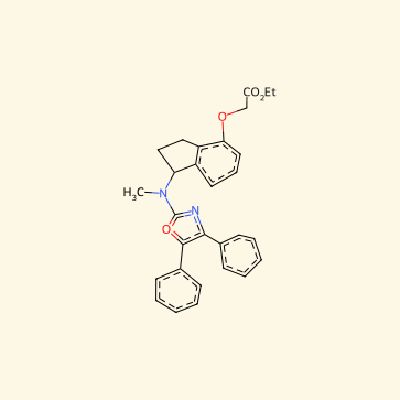 CCOC(=O)COc1cccc2c1CCC2N(C)c1nc(-c2ccccc2)c(-c2ccccc2)o1